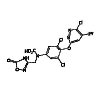 CC(C)c1cc(Oc2c(Cl)cc(N(Cc3noc(=O)[nH]3)C(=O)O)cc2Cl)nnc1Cl